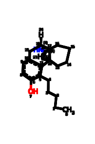 CCCCCc1c(O)ccc2c1C13CCCC[C@H]1[C@@H](C2)NCC3